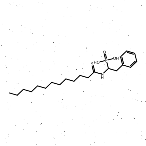 CCCCCCCCCCCCC(=S)NC(Cc1ccccc1)P(=O)(O)O